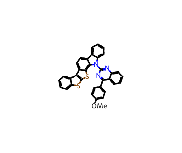 COc1ccc(-c2nc(-n3c4ccccc4c4ccc5c(sc6sc7ccccc7c65)c43)nc3ccccc23)cc1